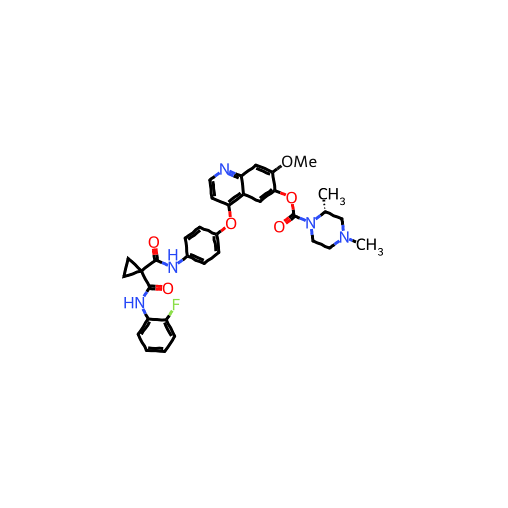 COc1cc2nccc(Oc3ccc(NC(=O)C4(C(=O)Nc5ccccc5F)CC4)cc3)c2cc1OC(=O)N1CCN(C)C[C@H]1C